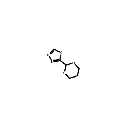 [c]1nnc(C2OC[CH]CO2)s1